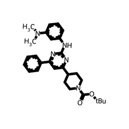 CN(C)c1cccc(Nc2nc(-c3ccccc3)cc(C3CCN(C(=O)OC(C)(C)C)CC3)n2)c1